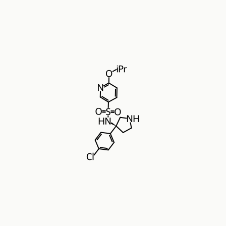 CC(C)Oc1ccc(S(=O)(=O)N[C@]2(c3ccc(Cl)cc3)CCNC2)cn1